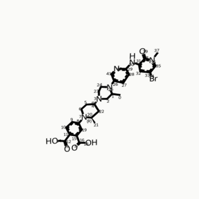 CC1CN([C@@H]2CCN(c3ccc(C(=O)O)c(C(=O)O)c3)[C@H](C)C2)CCN1c1ccc(Nc2cc(Br)cn(C)c2=O)nc1